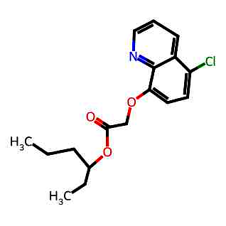 CCCC(CC)OC(=O)COc1ccc(Cl)c2cccnc12